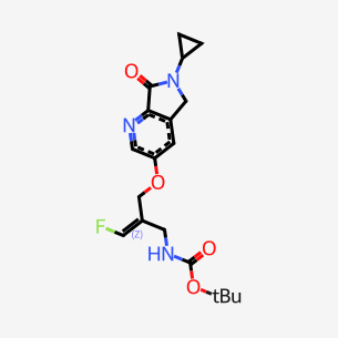 CC(C)(C)OC(=O)NC/C(=C/F)COc1cnc2c(c1)CN(C1CC1)C2=O